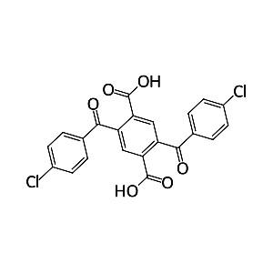 O=C(O)c1cc(C(=O)c2ccc(Cl)cc2)c(C(=O)O)cc1C(=O)c1ccc(Cl)cc1